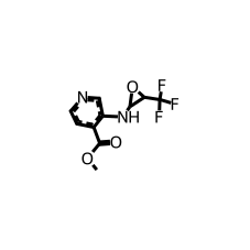 COC(=O)c1ccncc1NC1OC1C(F)(F)F